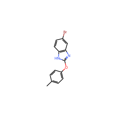 Cc1ccc(Oc2nc3cc(Br)ccc3[nH]2)cc1